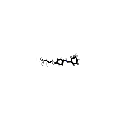 CN(C)CCCOc1ccc(/C=C/c2cccc(F)c2)cc1